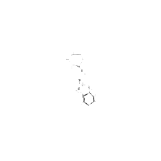 c1ccc2c(c1)SN(SNC1CCCCC1)S2